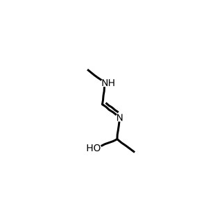 CNC=NC(C)O